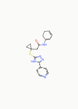 O=C(CC1(Sc2nnc(-c3ccncc3)[nH]2)CC1)NC1=CC=CCC1